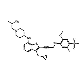 COc1cc(S(C)(=O)=O)c(F)cc1NCC#Cc1sc2c(NC3CCN(CC(C)O)CC3)cccc2c1CC1CC1